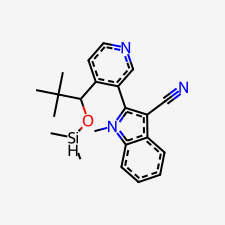 Cn1c(-c2cnccc2C(O[SiH](C)C)C(C)(C)C)c(C#N)c2ccccc21